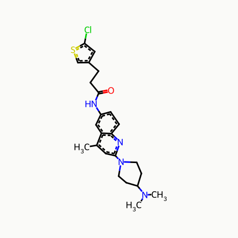 Cc1cc(N2CCC(N(C)C)CC2)nc2ccc(NC(=O)CCc3csc(Cl)c3)cc12